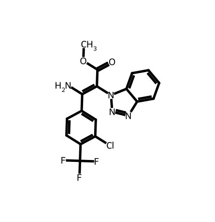 COC(=O)/C(=C(\N)c1ccc(C(F)(F)F)c(Cl)c1)n1nnc2ccccc21